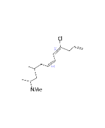 C=CC/C(Cl)=C\C=C/CC(C)CC(C)NC